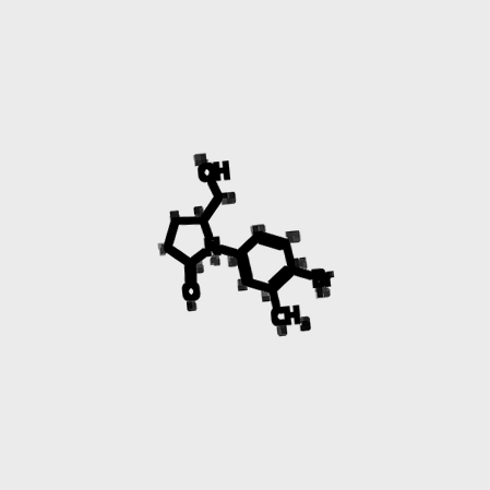 Cc1cc(N2C(=O)CCC2CO)ccc1Br